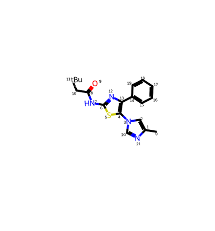 Cc1cn(-c2sc(NC(=O)CC(C)(C)C)nc2-c2ccccc2)cn1